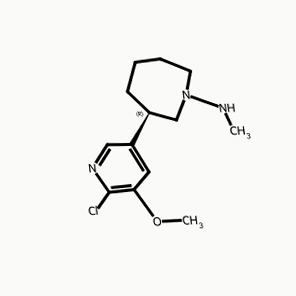 CNN1CCCC[C@H](c2cnc(Cl)c(OC)c2)C1